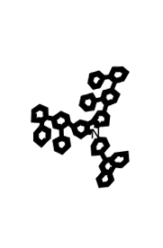 c1ccc(-c2ccccc2-c2ccc(-c3ccc4c(c3)c3cc(-c5ccc(-c6ccccc6-c6ccccc6)cc5-c5ccccc5)ccc3n4-c3ccc(-c4cc5ccccc5c5ccccc45)cc3)c(-c3ccccc3)c2)cc1